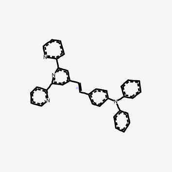 C(=C\c1cc(-c2ccccn2)nc(-c2ccccn2)c1)/c1ccc(N(c2ccccc2)c2ccccc2)cc1